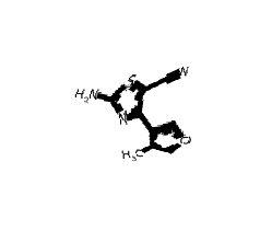 Cc1cocc1-c1nc(N)sc1C#N